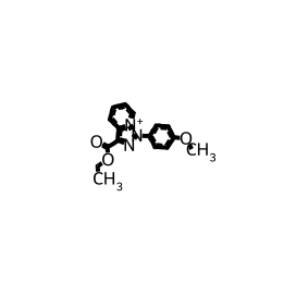 CCOC(=O)c1nn(-c2ccc(OC)cc2)[n+]2ccccc12